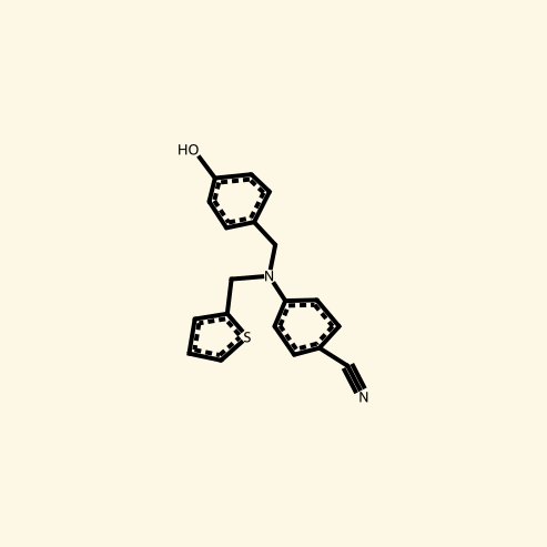 N#Cc1ccc(N(Cc2ccc(O)cc2)Cc2cccs2)cc1